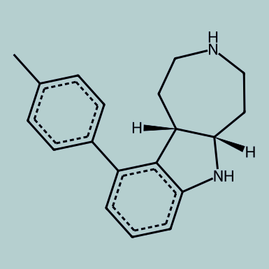 Cc1ccc(-c2cccc3c2[C@@H]2CCNCC[C@@H]2N3)cc1